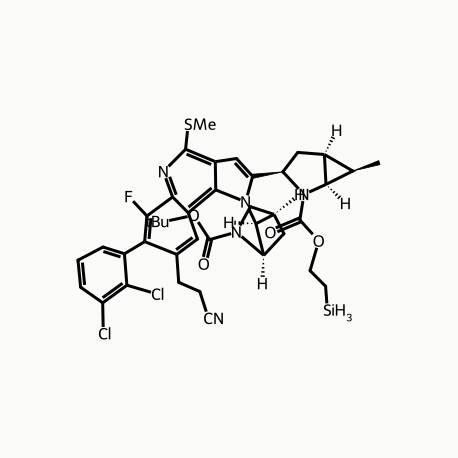 CSc1nc2c(F)c(-c3cccc(Cl)c3Cl)c(CCC#N)cc2c2c1cc([C@H]1C[C@H]3[C@@H](C)[C@H]3N1C(=O)OCC[SiH3])n2[C@H]1[C@@H]2C[C@H]1N(C(=O)OC(C)(C)C)C2